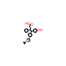 O=C(O)CC/C(=C(\c1ccc(O)cc1)c1ccc([C@@H]2CCN(C3CC3)C2)cc1)c1ccccc1